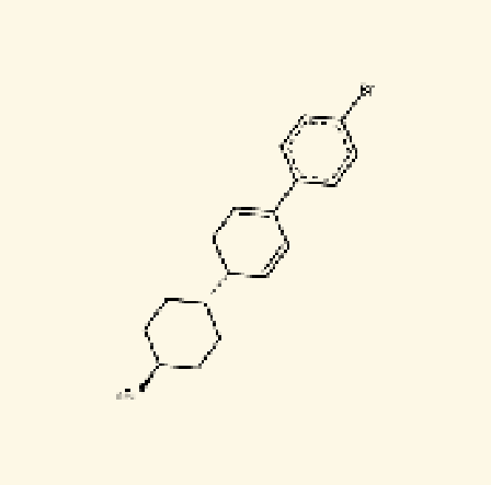 CCCC[C@H]1CC[C@H](C2C=CC(c3ccc(Br)cc3)=CC2)CC1